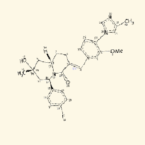 COc1cc(/C=C2\CC[C@H]3C[C@@](C)(O)C[C@H](c4ccc(F)cc4)N3C2=O)ccc1-n1cnc(C)c1